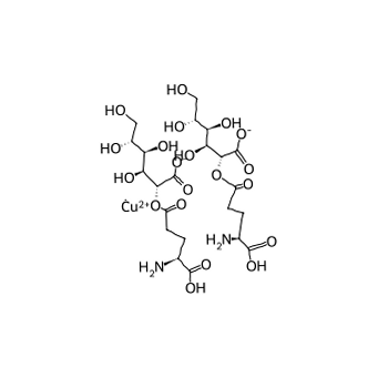 N[C@@H](CCC(=O)O[C@@H](C(=O)[O-])[C@@H](O)[C@H](O)[C@H](O)CO)C(=O)O.N[C@@H](CCC(=O)O[C@@H](C(=O)[O-])[C@@H](O)[C@H](O)[C@H](O)CO)C(=O)O.[Cu+2]